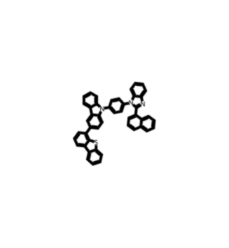 c1ccc2c(-c3nc4ccccc4n3-c3ccc(-n4c5ccccc5c5cc(-c6cccc7c6sc6ccccc67)ccc54)cc3)cccc2c1